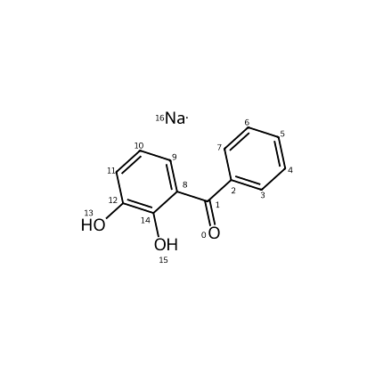 O=C(c1ccccc1)c1cccc(O)c1O.[Na]